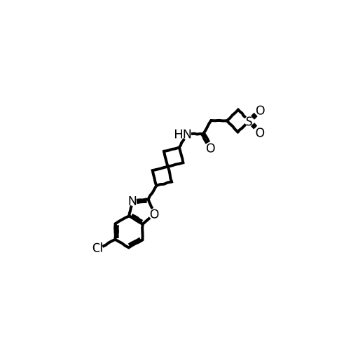 O=C(CC1CS(=O)(=O)C1)NC1CC2(C1)CC(c1nc3cc(Cl)ccc3o1)C2